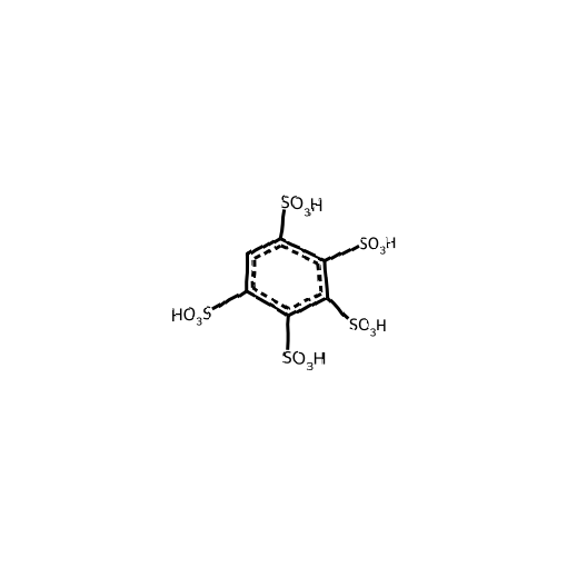 O=S(=O)(O)c1cc(S(=O)(=O)O)c(S(=O)(=O)O)c(S(=O)(=O)O)c1S(=O)(=O)O